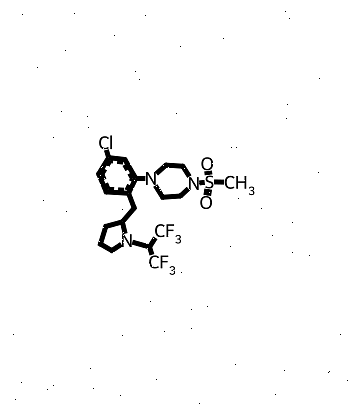 CS(=O)(=O)N1CCN(c2cc(Cl)ccc2CC2CCCN2C(C(F)(F)F)C(F)(F)F)CC1